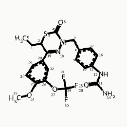 CCC1SC(=O)N(Cc2ccc(NC(N)=O)cc2)N=C1c1ccc(OC)c(OC(F)(F)F)c1